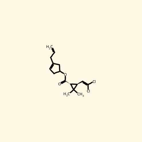 C=CCC1=CCC(OC(=O)[C@@H]2[C@@H](C=C(Cl)Cl)C2(C)C)C1